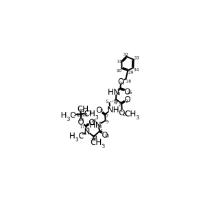 COC(=O)[C@H](CNC(=O)CNC(=O)[C@H](C)N(C)C(=O)OC(C)(C)C)NC(=O)OCc1ccccc1